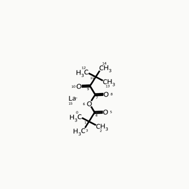 CC(C)(C)C(=O)OC(=O)C(=O)C(C)(C)C.[La]